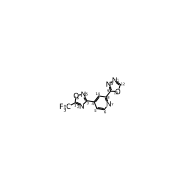 FC(F)(F)c1nc(-c2ccnc(-c3nnco3)c2)no1